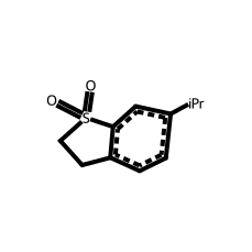 CC(C)c1ccc2c(c1)S(=O)(=O)CC2